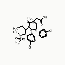 CCC(CN(C)S(C)(=O)=O)N1C(=O)[C@@](C)(CC(=O)O)C[C@H](c2cccc(Cl)c2)[C@H]1c1ccc(Cl)cc1